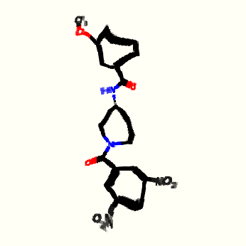 O=C(N[C@@H]1CCN(C(=O)c2cc([N+](=O)[O-])cc([N+](=O)[O-])c2)C1)c1cccc(OC(F)(F)F)c1